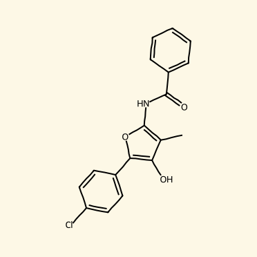 Cc1c(NC(=O)c2ccccc2)oc(-c2ccc(Cl)cc2)c1O